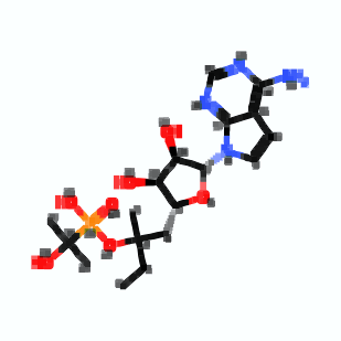 CCC(C)(C[C@H]1O[C@@H](n2ccc3c(N)ncnc32)[C@H](O)[C@@H]1O)OP(=O)(O)C(C)(C)O